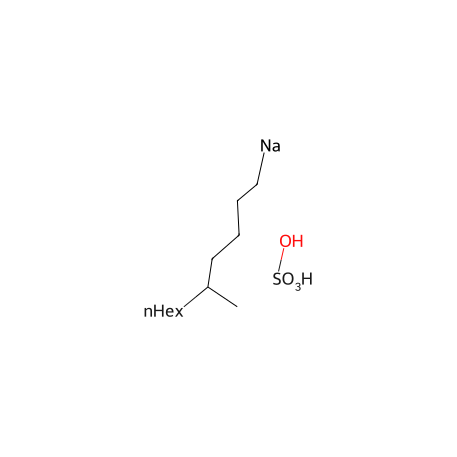 CCCCCCC(C)CCC[CH2][Na].O=S(=O)(O)O